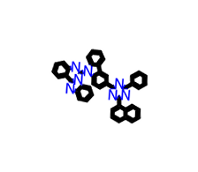 c1ccc(-c2nc(-c3ccc4c(c3)c3ccccc3n4-c3nc4ccccc4c4nc5ccccc5n34)nc(-c3cccc4ccccc34)n2)cc1